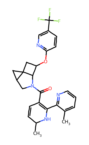 Cc1cccnc1C1=C(C(=O)N2CC3CC34CC(Oc3ccc(C(F)(F)F)cn3)C24)C=CC(C)N1